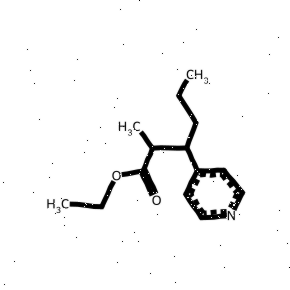 CCCC(c1ccncc1)C(C)C(=O)OCC